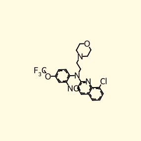 O=Nc1cc(OC(F)(F)F)ccc1N(CCN1CCOCC1)c1ccc2cccc(Cl)c2n1